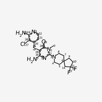 Cn1c(N2CCC3(CC2)CCC(F)(F)C3)nc(N)c(Sc2ccnc(N)c2Cl)c1=O